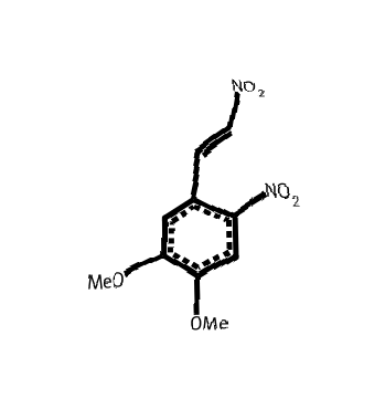 COc1cc(/C=C/[N+](=O)[O-])c([N+](=O)[O-])cc1OC